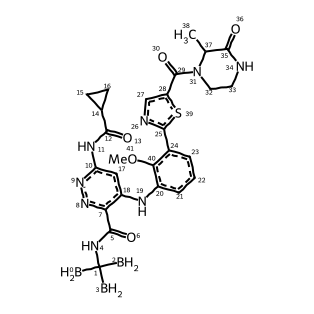 BC(B)(B)NC(=O)c1nnc(NC(=O)C2CC2)cc1Nc1cccc(-c2ncc(C(=O)N3CCNC(=O)C3C)s2)c1OC